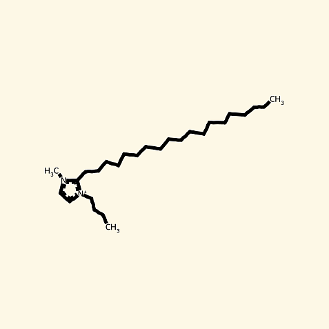 CCCCCCCCCCCCCCCCCCCc1n(C)cc[n+]1CCCC